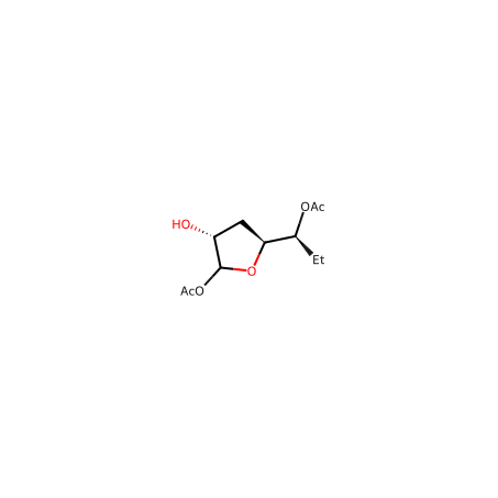 CC[C@H](OC(C)=O)[C@@H]1C[C@@H](O)C(OC(C)=O)O1